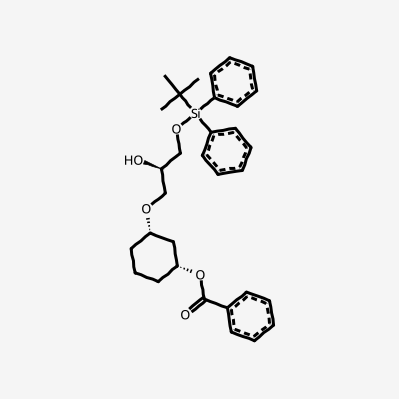 CC(C)(C)[Si](OC[C@H](O)CO[C@H]1CCC[C@@H](OC(=O)c2ccccc2)C1)(c1ccccc1)c1ccccc1